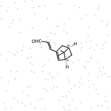 CC1(C)[C@H]2CC(C=CC=O)=C[C@@H]1C2